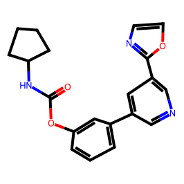 O=C(NC1CCCC1)Oc1cccc(-c2cncc(-c3ncco3)c2)c1